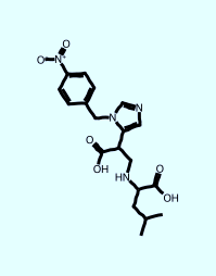 CC(C)CC(NCC(C(=O)O)c1cncn1Cc1ccc([N+](=O)[O-])cc1)C(=O)O